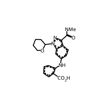 CNC(=O)c1nn(C2CCCCO2)c2cc(Nc3ccccc3C(=O)O)ccc12